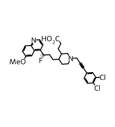 COc1ccc2nccc([C@@H](F)CCC3CCN(CC#Cc4ccc(Cl)c(Cl)c4)CC3CCC(=O)O)c2c1